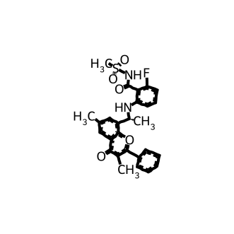 Cc1cc([C@@H](C)Nc2cccc(F)c2C(=O)NS(C)(=O)=O)c2oc(-c3ccccc3)c(C)c(=O)c2c1